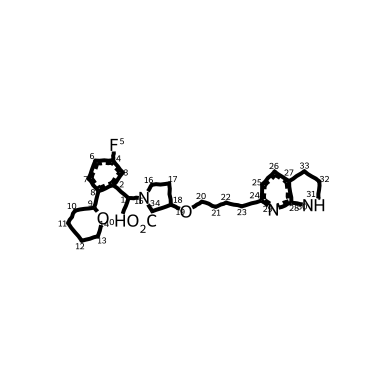 O=C(O)C(c1cc(F)ccc1C1CCCCO1)N1CCC(OCCCCc2ccc3c(n2)NCCC3)C1